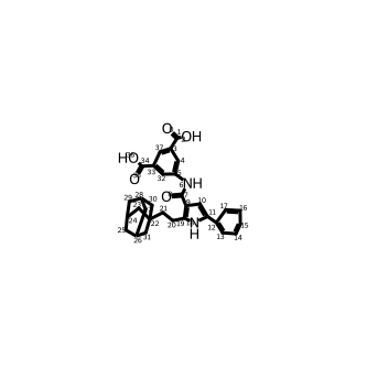 O=C(O)c1cc(NC(=O)c2cc(-c3ccccc3)[nH]c2CCC23CC4CC(CC(C4)C2)C3)cc(C(=O)O)c1